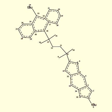 CC(C)(C)c1cc2cc3sc(C(C)(C)CCC(C)(C)c4c5ccccc5c(C(C)(C)C)c5ccccc45)cc3cc2s1